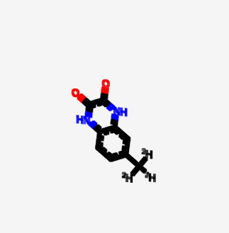 [2H]C([2H])([2H])c1ccc2[nH]c(=O)c(=O)[nH]c2c1